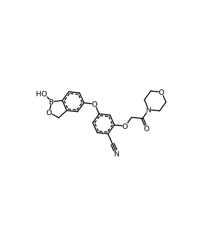 N#Cc1ccc(Oc2ccc3c(c2)COB3O)cc1OCC(=O)N1CCOCC1